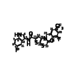 O=C(Nc1c[nH]c2ccc(F)cc12)c1cc2c(s1)SCC(=O)N2Cc1cc(F)cc(C(F)(F)F)c1